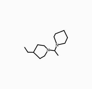 CCC1CCN(C(C)N2CCCCC2)CC1